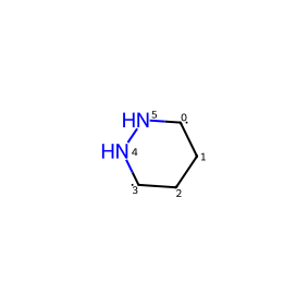 [CH]1CC[CH]NN1